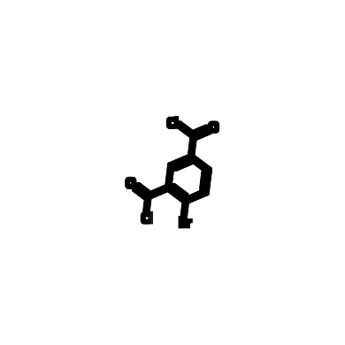 O=C(Cl)c1ccc(Br)c(C(=O)Cl)c1